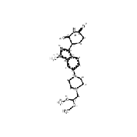 COC(CN1CCN(c2ccc3c(C4CCC(=O)NC4=O)nn(C)c3c2)CC1)OC